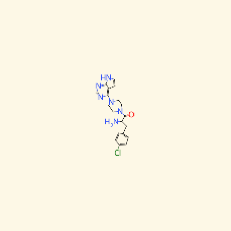 NC(Cc1ccc(Cl)cc1)C(=O)N1CCN(c2ncnc3[nH]ccc23)CC1